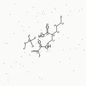 C=C(C)C(=O)O.CCC(C)(C)C.CCCCC(CC)C(=O)O